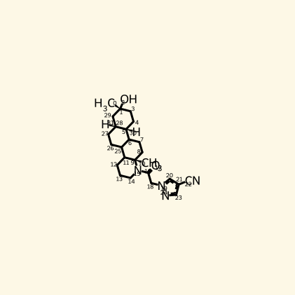 C[C@@]1(O)CC[C@@H]2C3CC[C@@]4(C)C(CCCN4C(=O)Cn4cc(C#N)cn4)C3CC[C@@H]2C1